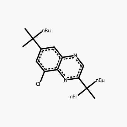 CCCCC(C)(C)c1cc(Cl)c2nc(C(C)(CCC)CCCC)cnc2c1